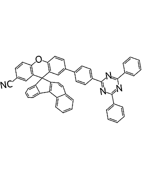 N#Cc1ccc2c(c1)C1(c3cc(-c4ccc(-c5nc(-c6ccccc6)nc(-c6ccccc6)n5)cc4)ccc3O2)c2ccccc2-c2c1ccc1ccccc21